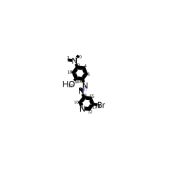 CN(C)c1ccc(/N=N/c2cncc(Br)c2)c(O)c1